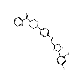 O=C(c1ccccn1)N1CCN(c2ccc(OCC3COC(c4ccc(Cl)cc4Cl)O3)cc2)CC1